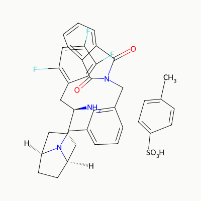 Cc1ccc(S(=O)(=O)O)cc1.N[C@H](Cc1cc(F)c(F)cc1F)[C@@H]1C[C@H]2CC[C@@H](C1)N2Cc1cccc(CN2C(=O)c3ccccc3C2=O)c1